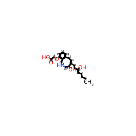 CCCCC[C@H](O)CC[C@@H]1CCc2cccc(OCC(=O)O)c2CNC[C@H]1O